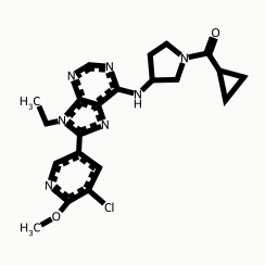 CCn1c(-c2cnc(OC)c(Cl)c2)nc2c(NC3CCN(C(=O)C4CC4)C3)ncnc21